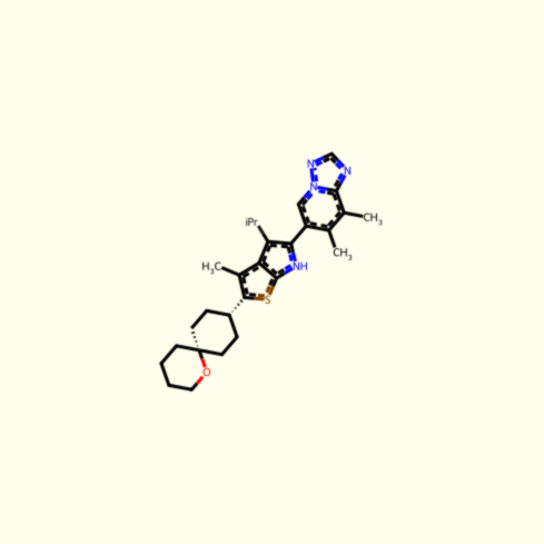 Cc1c(-c2[nH]c3sc([C@H]4CC[C@]5(CCCCO5)CC4)c(C)c3c2C(C)C)cn2ncnc2c1C